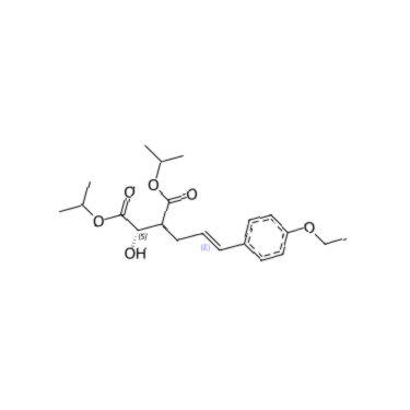 CCOc1ccc(/C=C/CC(C(=O)OC(C)C)[C@H](O)C(=O)OC(C)C)cc1